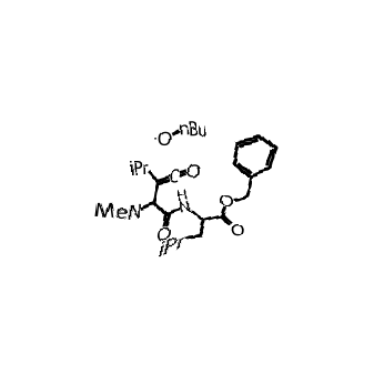 CCCC[O].CNC(C(=O)NC(CC(C)C)C(=O)OCc1ccccc1)C(=C=O)C(C)C